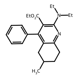 CCOC(=O)c1c(N(CC)CC)nc2c(c1-c1ccccc1)CC(C)CC2